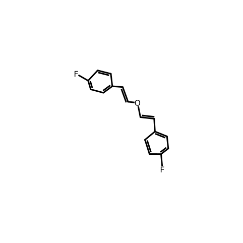 Fc1ccc(C=COC=Cc2ccc(F)cc2)cc1